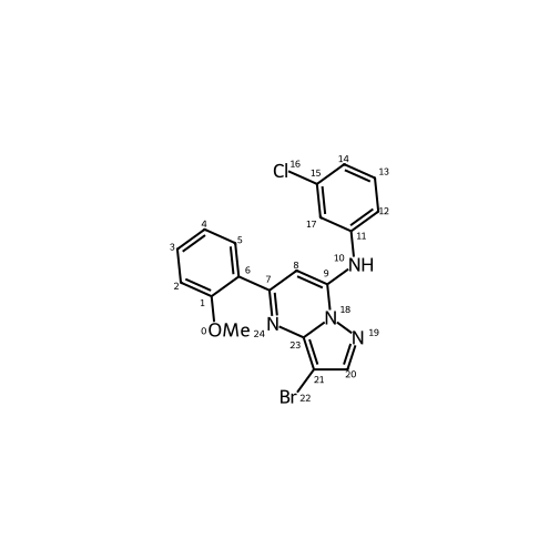 COc1ccccc1-c1cc(Nc2cccc(Cl)c2)n2ncc(Br)c2n1